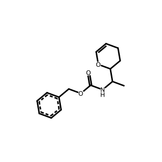 CC(NC(=O)OCc1ccccc1)C1CCC=CO1